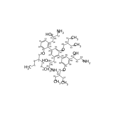 CCCC(CCC)COc1cccc(C[C@@H](O)CN)c1-c1cc(C[C@@H](O)CN)c(-c2cc(OCC(CC)CC)cc(C(O)CCN)c2)c(OCC(CC)CC)c1